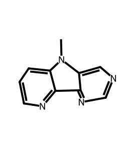 Cn1c2cccnc2c2ncncc21